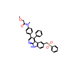 COCC(=O)N(C)c1ccc(-c2cnc3[nH]c4ccc(CS(=O)(=O)c5ccccc5)cc4c3c2-c2ccccc2)cc1